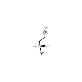 C=CCS(=O)(=O)O.[C]